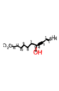 CCCCCC/C=C/C#CC(O)CCCCCCC(=O)O